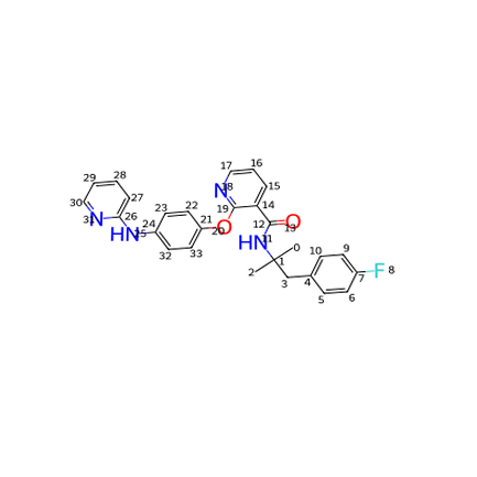 CC(C)(Cc1ccc(F)cc1)NC(=O)c1cccnc1Oc1ccc(Nc2ccccn2)cc1